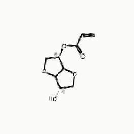 C=CC(=O)O[C@@H]1COC2C1OC[C@@H]2O